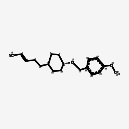 N#C/C=C/CC[C@H]1CC[C@H](OCc2ccc(OC(F)(F)F)cc2)CC1